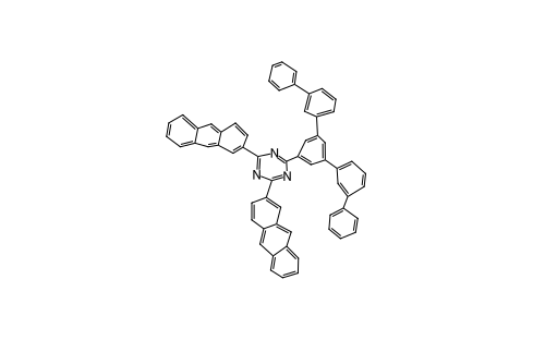 c1ccc(-c2cccc(-c3cc(-c4cccc(-c5ccccc5)c4)cc(-c4nc(-c5ccc6cc7ccccc7cc6c5)nc(-c5ccc6cc7ccccc7cc6c5)n4)c3)c2)cc1